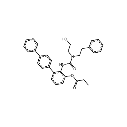 CCC(=O)Oc1cccc(-c2ccc(-c3ccccc3)cc2)c1NC(=O)N(CCO)CCc1ccccc1